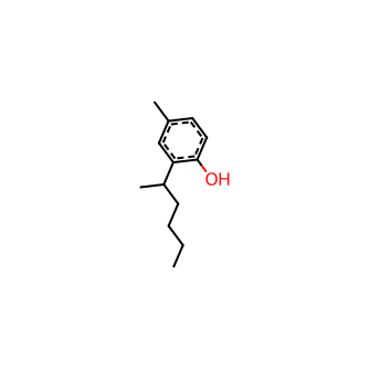 CCCCC(C)c1cc(C)ccc1O